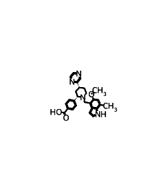 COc1cc(C)c2[nH]ccc2c1CN1CC[C@@H](c2cnccn2)C[C@H]1c1ccc(C(=O)O)cc1